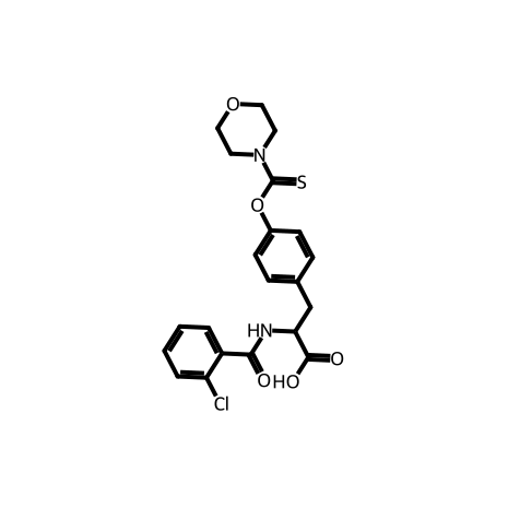 O=C(NC(Cc1ccc(OC(=S)N2CCOCC2)cc1)C(=O)O)c1ccccc1Cl